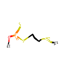 CCO[PH](=S)SCCSCC